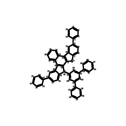 c1ccc(-c2ccc3sc4c(c3c2)c2ccccc2c2c3cc(-c5ccccc5)ccc3n(-c3nc(-c5ccccc5)nc(-c5ccccc5)n3)c42)cc1